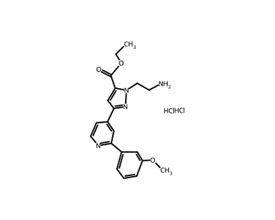 CCOC(=O)c1cc(-c2ccnc(-c3cccc(OC)c3)c2)nn1CCN.Cl.Cl